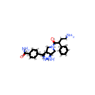 NCCC(C(=O)N1Cc2[nH]nc(-c3ccc(C(N)=O)cc3)c2C1)c1ccccc1